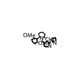 COc1cccc(OC)c1C1CCCCC(C=O)N1Cc1ccnc(-n2cccn2)c1